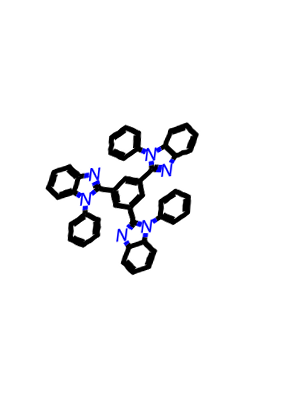 C1=CC2N=C(c3cc(C4=NC5C=CC=CC5N4c4ccccc4)cc(-c4nc5ccccc5n4-c4ccccc4)c3)N(c3ccccc3)C2C=C1